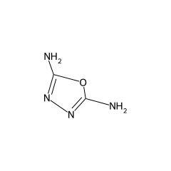 Nc1nnc(N)o1